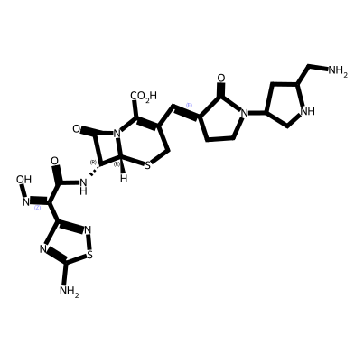 NCC1CC(N2CC/C(=C\C3=C(C(=O)O)N4C(=O)[C@@H](NC(=O)/C(=N\O)c5nsc(N)n5)[C@H]4SC3)C2=O)CN1